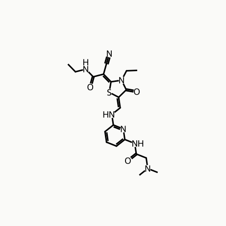 CCNC(=O)C(C#N)=c1sc(=CNc2cccc(NC(=O)CN(C)C)n2)c(=O)n1CC